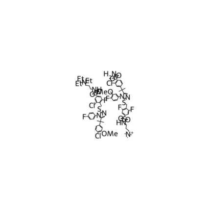 CC[N+](CC)(CC)CCCNS(=O)(=O)c1cc(F)c(CSc2ncc(C(C)(C)c3ccc(Cl)c(OC)c3)n2-c2ccc(F)cc2)c(Cl)c1.COc1cc(-n2c(C(C)(C)c3ccc(S(N)(=O)=O)c(Cl)c3)cnc2SCc2c(F)cc(S(=O)(=O)NCCC[N+](C)(C)C)cc2F)ccc1F